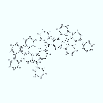 c1ccc(-c2cccc(C(c3ccccc3)(c3ccccc3)c3ccc4c(c3)c3ccccc3n4-c3ccc4c(c3)c3cc(-c5c(-c6ccccc6)cccc5-c5ccccc5)ccc3n4-c3ccccc3)c2)cc1